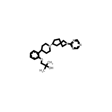 CC(C)(O)COc1ccccc1C1CCN([C@@H]2CCC3(C2)CN(c2ncncn2)C3)CC1